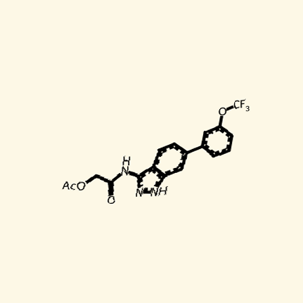 CC(=O)OCC(=O)Nc1n[nH]c2cc(-c3cccc(OC(F)(F)F)c3)ccc12